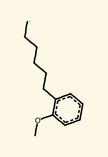 [CH2]CCCCCc1ccccc1OC